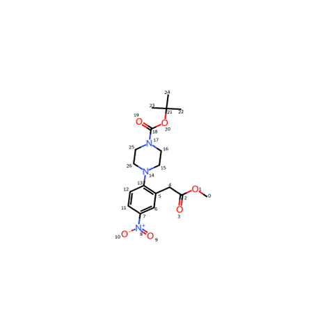 COC(=O)Cc1cc([N+](=O)[O-])ccc1N1CCN(C(=O)OC(C)(C)C)CC1